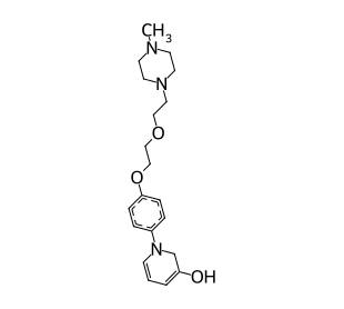 CN1CCN(CCOCCOc2ccc(N3C=CC=C(O)C3)cc2)CC1